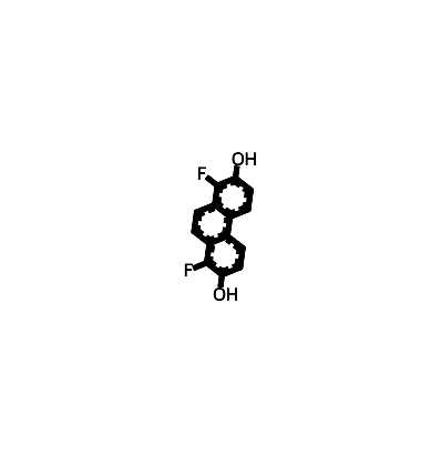 Oc1ccc2c(ccc3c(F)c(O)ccc32)c1F